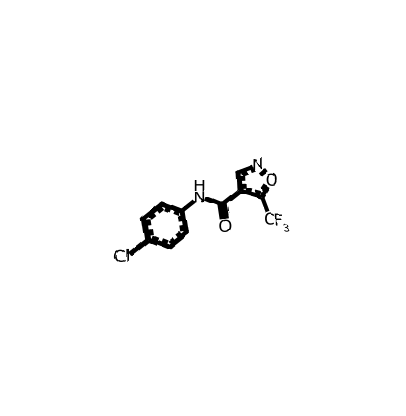 O=C(Nc1ccc(Cl)cc1)c1cnoc1C(F)(F)F